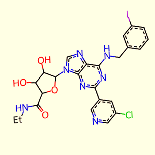 CCNC(=O)C1OC(n2cnc3c(NCc4cccc(I)c4)nc(-c4cncc(Cl)c4)nc32)C(O)C1O